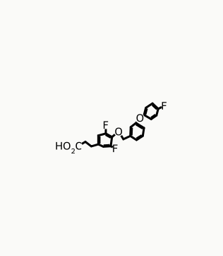 O=C(O)CCc1cc(F)c(OCc2cccc(Oc3ccc(F)cc3)c2)c(F)c1